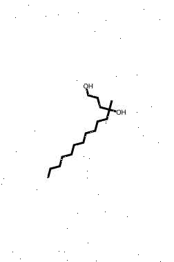 CCCCCCCCCCCC(C)(O)CCCO